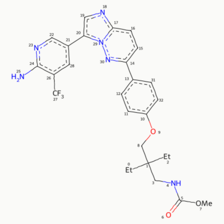 CCC(CC)(CNC(=O)OC)COc1ccc(-c2ccc3ncc(-c4cnc(N)c(C(F)(F)F)c4)n3n2)cc1